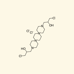 OC(CCl)CN1CC[N+]2(CC1)CC[N+]1(CCN(CC(O)CCl)CC1)CC2.[Cl-].[Cl-]